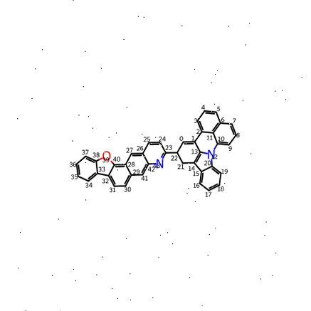 C1=c2c3cccc4cccc(c43)n3c2c(c2ccccc23)CC1c1ccc2cc3c(ccc4c5ccccc5oc34)cc2n1